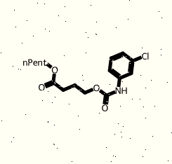 CCCCCOC(=O)CCCOC(=O)Nc1cccc(Cl)c1